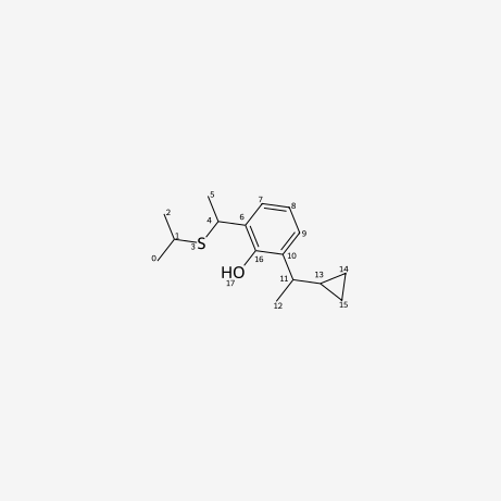 CC(C)SC(C)c1cccc(C(C)C2CC2)c1O